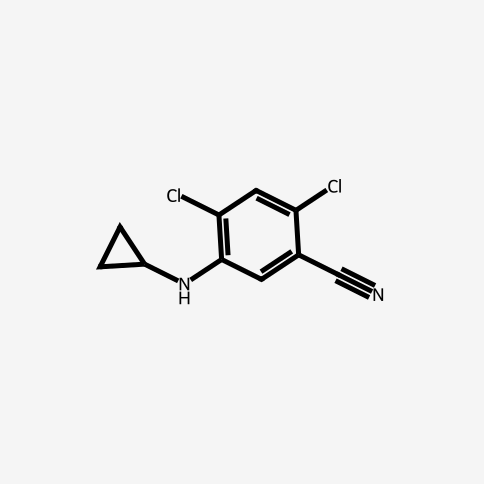 N#Cc1cc(NC2CC2)c(Cl)cc1Cl